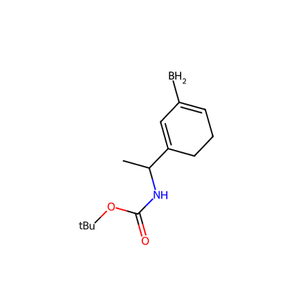 BC1=CCCC(C(C)NC(=O)OC(C)(C)C)=C1